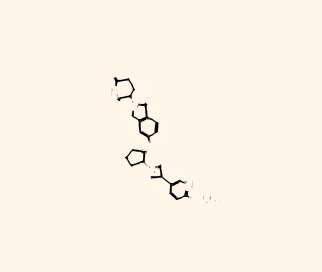 COc1ccc(C2CN([C@H]3CCC[C@H]3Oc3ccc4c(c3)CN(C3CCC(=O)NC3=O)C4=O)C2)cn1